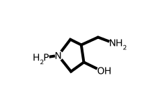 NCC1CN(P)CC1O